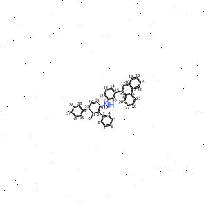 CC1C(c2ccccc2)=C(Nc2cccc(-c3cc4ccccc4c4ccccc34)c2)C=CC1c1ccccc1